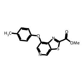 COC(=O)c1nc2c(Oc3ccc(C)cc3)cncc2s1